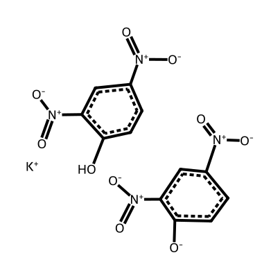 O=[N+]([O-])c1ccc(O)c([N+](=O)[O-])c1.O=[N+]([O-])c1ccc([O-])c([N+](=O)[O-])c1.[K+]